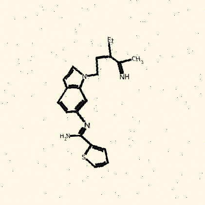 CCC(CCn1ccc2ccc(N=C(N)c3cccs3)cc21)C(C)=N